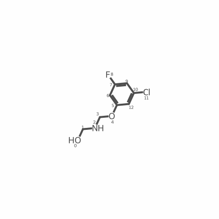 OCNCOc1cc(F)cc(Cl)c1